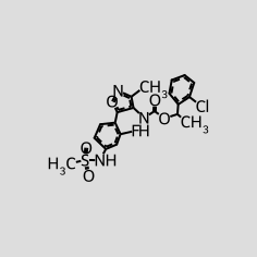 Cc1noc(-c2ccc(NS(C)(=O)=O)cc2F)c1NC(=O)OC(C)c1ccccc1Cl